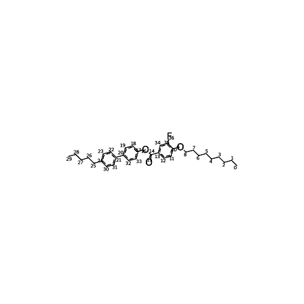 CCCCCCCCCOc1ccc(C(=O)Oc2ccc(-c3ccc(CCCCC)cc3)cc2)cc1F